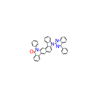 O=c1c2ccccc2c2cc3ccc4c(c3cc2n1-c1ccccc1)c1ccccc1n4-c1nc(-c2ccccc2)c2ccccc2n1